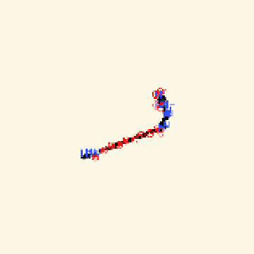 CCCCNC(=O)NCCOCCOCCOCCOCCOCCOCCOCCOC(=O)n1cnc(CCn2cc(CNc3ccc([N+](=O)[O-])cc3[N+](=O)[O-])nn2)c1